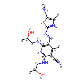 [C-]#[N+]c1sc(N=Nc2c(NCC(C)O)nc(NCC(C)O)c(C#N)c2C)nc1C